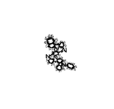 N#Cc1cc(-n2c3ccccc3c3c4c5ccccc5n(-c5ccccc5)c4ccc32)c(C#N)cc1-n1c2ccccc2c2c3ccccc3ccc21